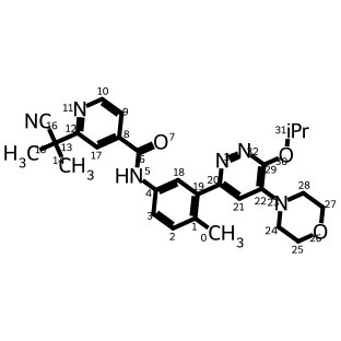 Cc1ccc(NC(=O)c2ccnc(C(C)(C)C#N)c2)cc1-c1cc(N2CCOCC2)c(OC(C)C)nn1